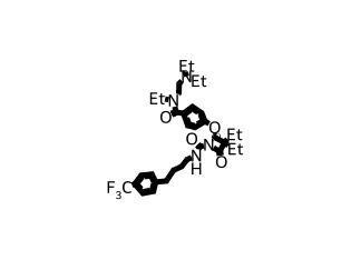 CCN(CC)CCN(CC)C(=O)c1ccc(O[C@@H]2N(C(=O)NCCCCc3ccc(C(F)(F)F)cc3)C(=O)C2(CC)CC)cc1